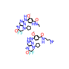 CCNC(=O)c1ccc(Nc2ncc3c(n2)N(C2CCCC2)CC(F)(F)C(=O)N3C)c(OC)c1.COc1cc(C(=O)NCCCN(C)C)ccc1Nc1ncc2c(n1)N(C1CCCC1)CC(F)(F)C(=O)N2C